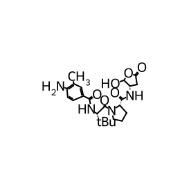 Cc1cc(C(=O)N[C@H](C(=O)N2CCC[C@H]2C(=O)N[C@H]2CC(=O)OC2O)C(C)(C)C)ccc1N